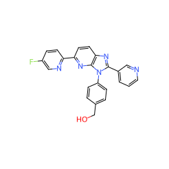 OCc1ccc(-n2c(-c3cccnc3)nc3ccc(-c4ccc(F)cn4)nc32)cc1